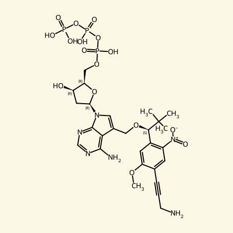 COc1cc([C@@H](OCc2cn([C@H]3C[C@@H](O)[C@@H](COP(=O)(O)OP(=O)(O)OP(=O)(O)O)O3)c3ncnc(N)c23)C(C)(C)C)c([N+](=O)[O-])cc1C#CCN